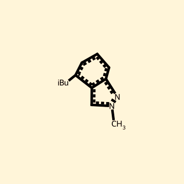 CCC(C)c1cccc2nn(C)cc12